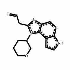 O=CCc1nc2cnc3[nH]ccc3c2n1C1CCCOC1